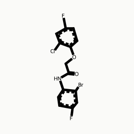 O=C(COc1ccc(F)cc1Cl)Nc1ccc(F)cc1Br